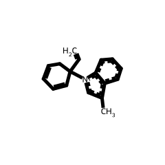 C=CC1(n2cc(C)c3ccccc32)C=CC=CC1